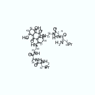 CC(C)C[C@H](N)C(=O)N[C@@H](C)C(=O)NCCNc1ccc(NCCNC(=O)[C@H](C)NC(=O)[C@@H](N)CC(C)C)c2c1C(=O)c1c(O)ccc(O)c1C2=O